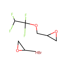 Br.CC1CO1.FC(F)C(F)(F)OCC1CO1